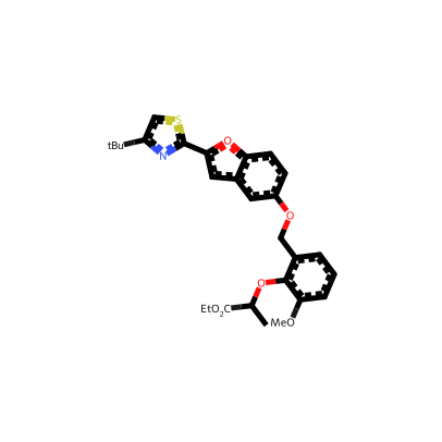 CCOC(=O)C(C)Oc1c(COc2ccc3oc(-c4nc(C(C)(C)C)cs4)cc3c2)cccc1OC